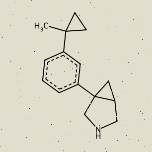 CC1(c2cccc(C34CNCC3C4)c2)CC1